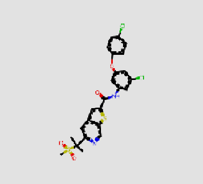 CC(C)(c1cc2cc(C(=O)Nc3cc(Cl)cc(Oc4ccc(Cl)cc4)c3)sc2cn1)S(C)(=O)=O